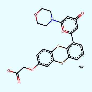 O=C([O-])COc1ccc2c(c1)Sc1cccc(-c3cc(=O)cc(N4CCOCC4)o3)c1S2.[Na+]